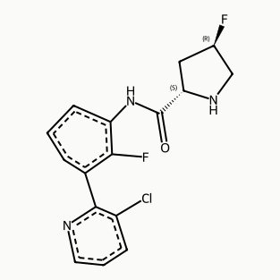 O=C(Nc1cccc(-c2ncccc2Cl)c1F)[C@@H]1C[C@@H](F)CN1